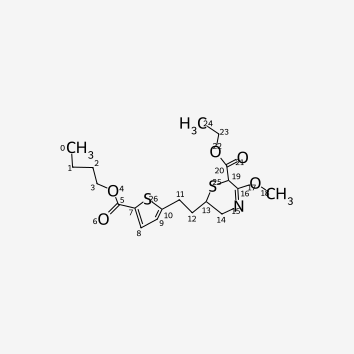 CCCCOC(=O)c1ccc(CCC2CN=C(OC)C(C(=O)OCC)S2)s1